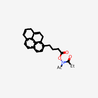 CCC(=O)N(OC(=O)CCCc1ccc2ccc3c4c2c1CC=C4CC=C3)C(C)=O